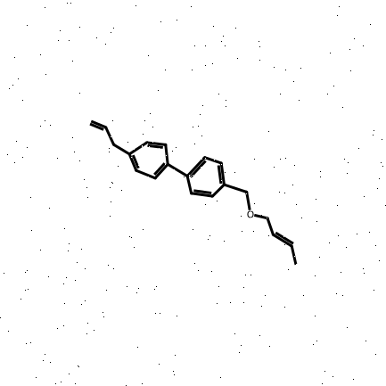 C=CCc1ccc(-c2ccc(COCC=CC)cc2)cc1